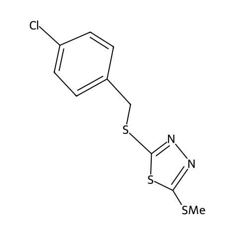 CSc1nnc(SCc2ccc(Cl)cc2)s1